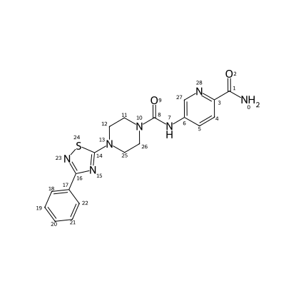 NC(=O)c1ccc(NC(=O)N2CCN(c3nc(-c4ccccc4)ns3)CC2)cn1